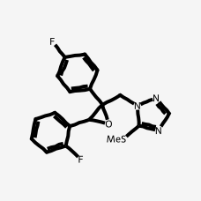 CSc1ncnn1CC1(c2ccc(F)cc2)OC1c1ccccc1F